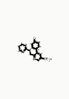 O=C(O)c1cnc(CCc2ccccn2)c(-c2ccc(Cl)cc2)c1